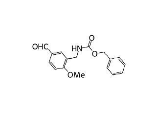 COc1ccc(C=O)cc1CNC(=O)OCc1ccccc1